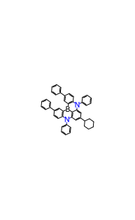 c1ccc(-c2ccc3c(c2)B2c4cc(-c5ccccc5)ccc4N(c4ccccc4)c4cc(C5CCCCC5)cc(c42)N3c2ccccc2)cc1